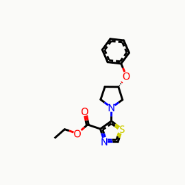 CCOC(=O)c1ncsc1N1CC[C@H](Oc2ccccc2)C1